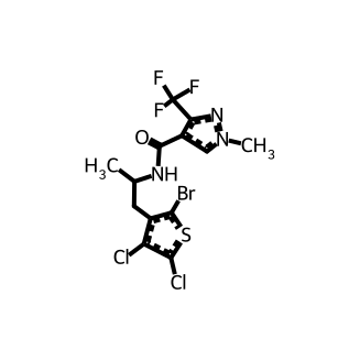 CC(Cc1c(Br)sc(Cl)c1Cl)NC(=O)c1cn(C)nc1C(F)(F)F